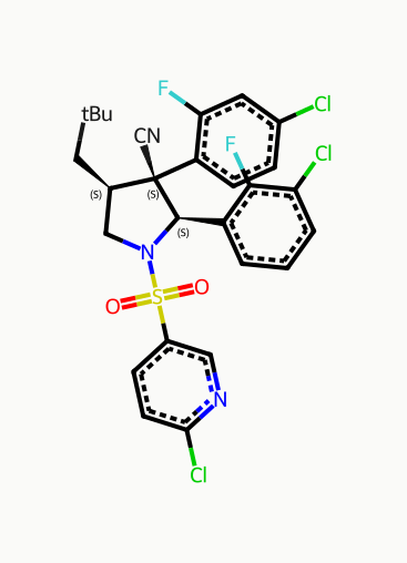 CC(C)(C)C[C@@H]1CN(S(=O)(=O)c2ccc(Cl)nc2)[C@H](c2cccc(Cl)c2F)[C@@]1(C#N)c1ccc(Cl)cc1F